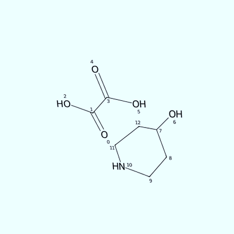 O=C(O)C(=O)O.OC1CCNCC1